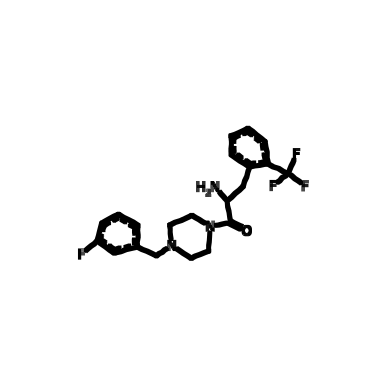 NC(Cc1ccccc1C(F)(F)F)C(=O)N1CCN(Cc2cccc(F)c2)CC1